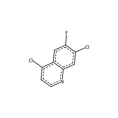 Fc1cc2c(Cl)ccnc2cc1Cl